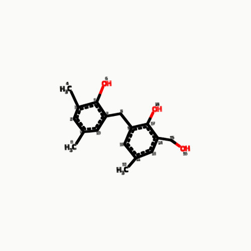 Cc1cc(C)c(O)c(Cc2cc(C)cc(CO)c2O)c1